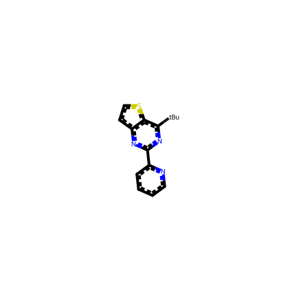 CC(C)(C)c1nc(-c2ccccn2)nc2ccsc12